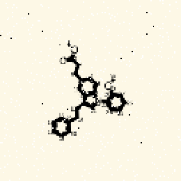 COC(=O)CCc1ccc2c(c1)c(CCc1ccccc1)cn2-c1ccccc1OC